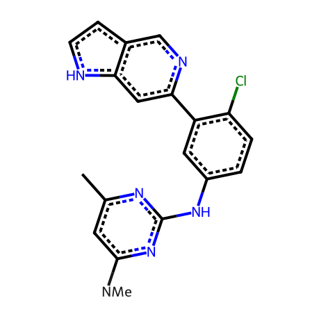 CNc1cc(C)nc(Nc2ccc(Cl)c(-c3cc4[nH]ccc4cn3)c2)n1